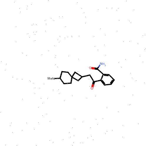 CNC1CCC2(CC1)CC(CC(=O)c1ccccc1C(N)=O)C2